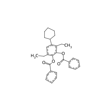 CCc1cc(C2CCCCC2)c(CC)c(OC(=O)c2ccccc2)c1OC(=O)c1ccccc1